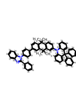 CC1(C)c2ccc(-c3ccc(-n4c(-c5ccccc5)nc5ccccc54)cc3)cc2C(C)(C)c2cc(N3c4ccccc4C(c4ccccc4)(c4ccccc4)c4ccccc43)ccc21